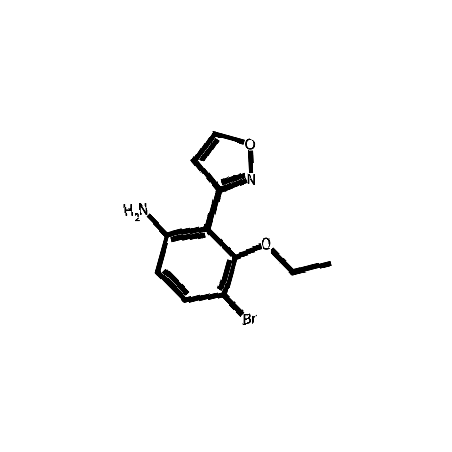 CCOc1c(Br)ccc(N)c1-c1ccon1